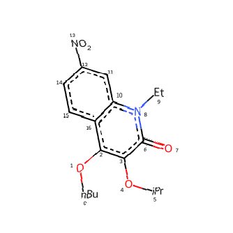 CCCCOc1c(OC(C)C)c(=O)n(CC)c2cc([N+](=O)[O-])ccc12